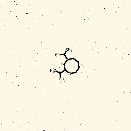 CC(C)C1CCCC[N]C(C(C)C)C1